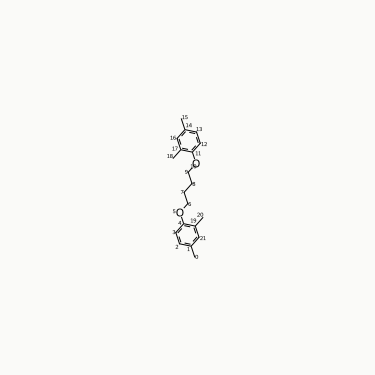 Cc1ccc(OCCCCOc2ccc(C)cc2C)c(C)c1